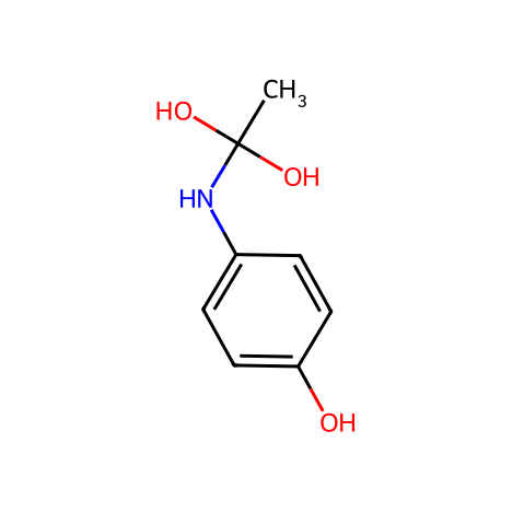 CC(O)(O)Nc1ccc(O)cc1